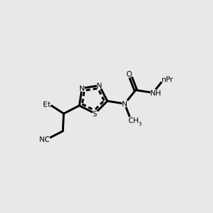 CCCNC(=O)N(C)c1nnc(C(CC)CC#N)s1